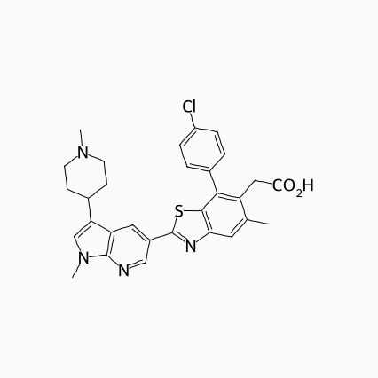 Cc1cc2nc(-c3cnc4c(c3)c(C3CCN(C)CC3)cn4C)sc2c(-c2ccc(Cl)cc2)c1CC(=O)O